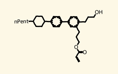 C=CC(=O)OCCCc1cc(-c2ccc(C3CCC(CCCCC)CC3)cc2)ccc1CCCO